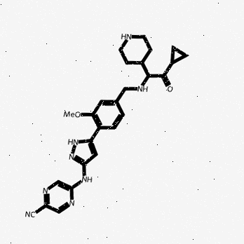 COc1cc(CNC(C(=O)C2CC2)C2CCNCC2)ccc1-c1cc(Nc2cnc(C#N)cn2)n[nH]1